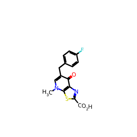 Cn1cc(Cc2ccc(F)cc2)c(=O)c2nc(C(=O)O)sc21